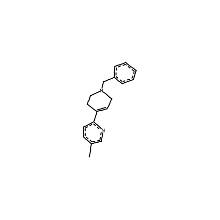 Cc1ccc(C2=CCN(Cc3ccccc3)CC2)nc1